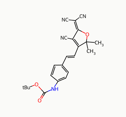 CC(C)(C)OC(=O)Nc1ccc(C=CC2=C(C#N)C(=C(C#N)C#N)OC2(C)C)cc1